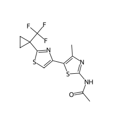 CC(=O)Nc1nc(C)c(-c2csc(C3(C(F)(F)F)CC3)n2)s1